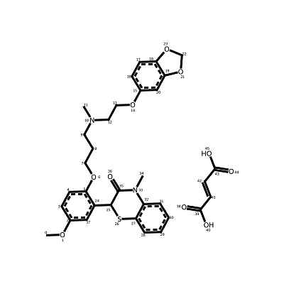 COc1ccc(OCCCN(C)CCOc2ccc3c(c2)OCO3)c(C2Sc3ccccc3N(C)C2=O)c1.O=C(O)C=CC(=O)O